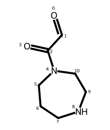 O=[C]C(=O)N1CCCNCC1